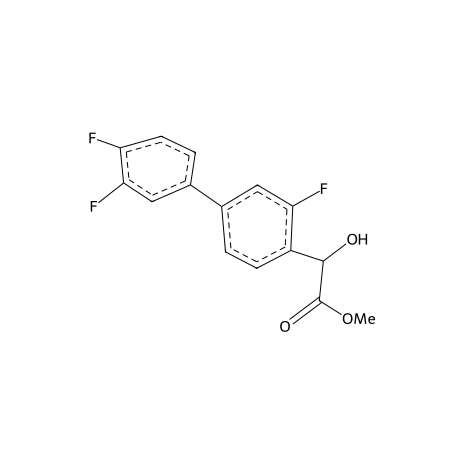 COC(=O)C(O)c1ccc(-c2ccc(F)c(F)c2)cc1F